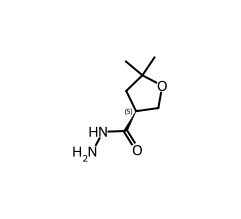 CC1(C)C[C@H](C(=O)NN)CO1